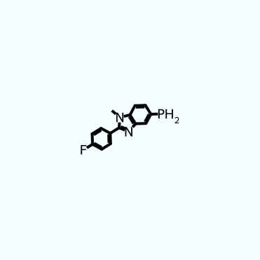 Cn1c(-c2ccc(F)cc2)nc2cc(P)ccc21